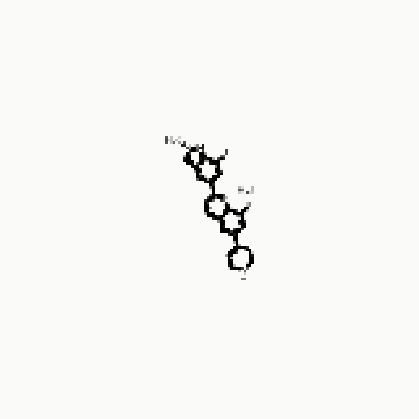 Cl.Cn1cc2cc(-c3ccc4cc(C5=CCNCC5)cc(F)c4n3)cc(F)c2n1